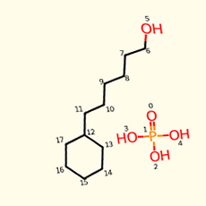 O=P(O)(O)O.OCCCCCCC1CCCCC1